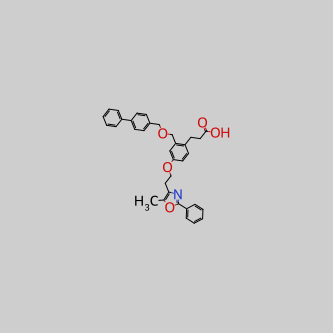 Cc1oc(-c2ccccc2)nc1CCOc1ccc(CCC(=O)O)c(COCc2ccc(-c3ccccc3)cc2)c1